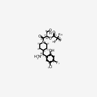 N[C@@H](c1cc(Cl)c(F)cc1O)C1CCN(C(=O)[C@@H](CO)OC(=O)C(F)(F)F)CC1